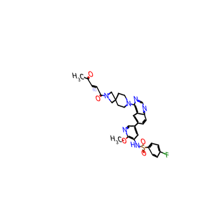 COc1ncc(-c2ccc3ncnc(N4CCC5(CC4)CN(C(=O)/C=C/C(C)=O)C5)c3c2)cc1NS(=O)(=O)c1ccc(F)cc1